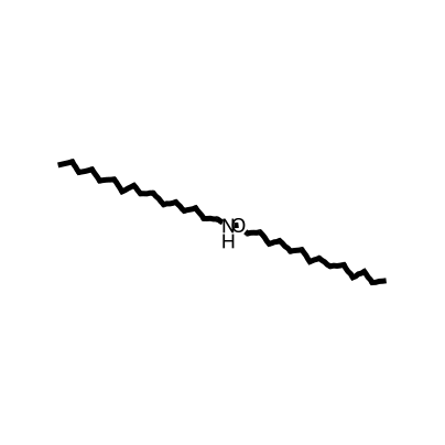 CCCCCCCCCCCCCCCCNOCCCCCCCCCCCCCC